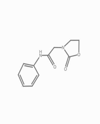 O=C(CN1CCOC1=O)Nc1cc[c]cc1